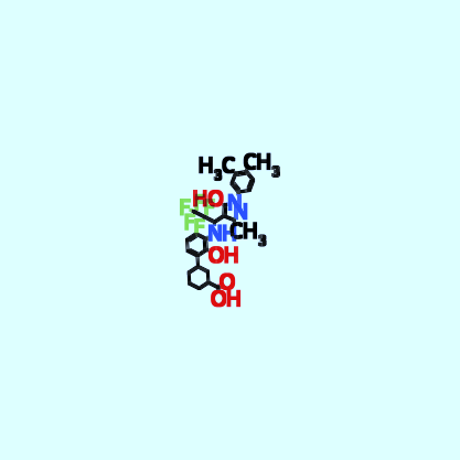 Cc1ccc(-n2nc(C)c(C(Nc3cccc(C4CCCC(C(=O)O)C4)c3O)C(F)(F)C(F)(F)F)c2O)cc1C